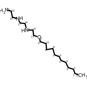 CCCCCCCCCCCCOCCNCCNCCN